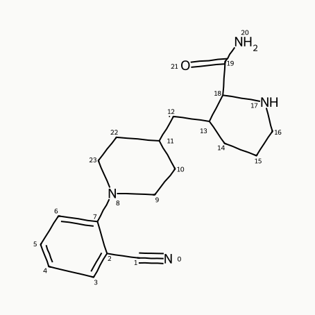 N#Cc1ccccc1N1CCC([CH]C2CCCNC2C(N)=O)CC1